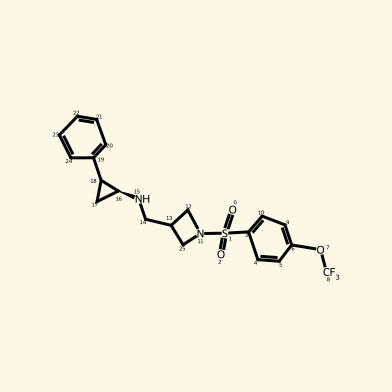 O=S(=O)(c1ccc(OC(F)(F)F)cc1)N1CC(CN[C@H]2CC2c2ccccc2)C1